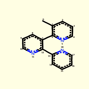 Cc1cccnc1-c1cccnc1-c1ccccn1